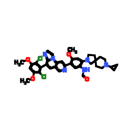 COc1cc(N2CCC3(CCN(C4CC4)CC3)C2)c(NC=O)cc1-c1cc2c(cn1)cc(-c1c(Cl)c(OC)cc(OC)c1Cl)c1nccn12